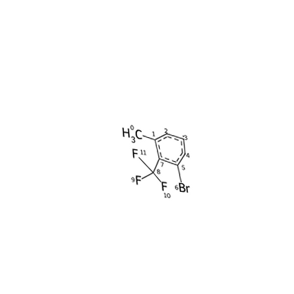 Cc1c[c]cc(Br)c1C(F)(F)F